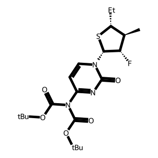 CC[C@H]1S[C@@H](n2ccc(N(C(=O)OC(C)(C)C)C(=O)OC(C)(C)C)nc2=O)[C@@H](F)[C@@H]1C